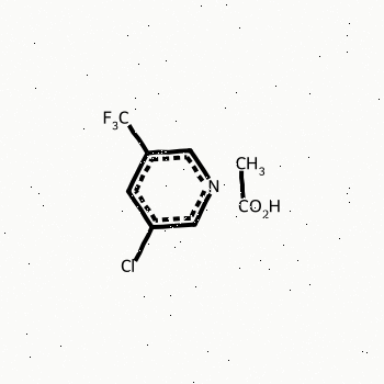 CC(=O)O.FC(F)(F)c1cncc(Cl)c1